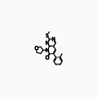 CSc1ncc2cc(-c3ccccc3C)c(=O)n([C@H]3CCOC3)c2n1